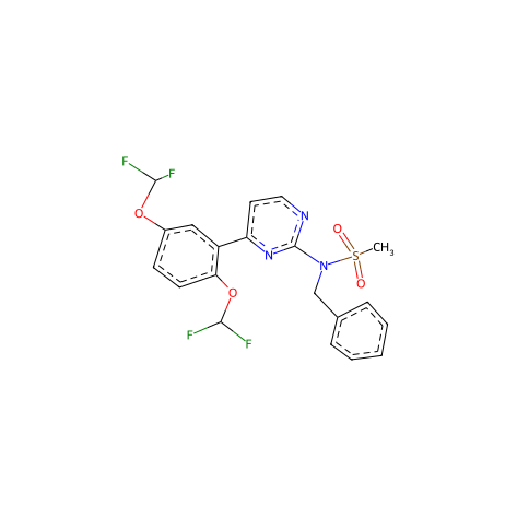 CS(=O)(=O)N(Cc1ccccc1)c1nccc(-c2cc(OC(F)F)ccc2OC(F)F)n1